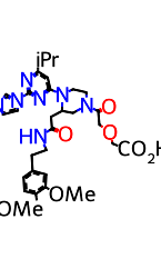 COc1ccc(CCNC(=O)CC2CN(C(=O)COCC(=O)O)CCN2c2cc(C(C)C)nc(-n3ccnc3)n2)cc1OC